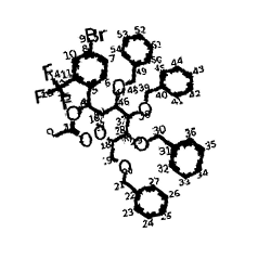 CC(=O)O[C@@H](c1ccc(Br)cc1C(F)(F)F)[C@H]1OC(COCc2ccccc2)[C@@H](OCc2ccccc2)C(OCc2ccccc2)C1OCc1ccccc1